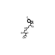 CCC(CCNCCN(CC)C(=O)C(C)CO)c1noc2cc(F)ccc12